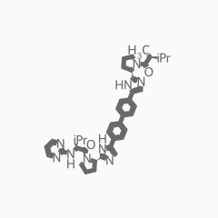 CC(C)[C@H](C)C(=O)N1CCC[C@H]1c1ncc(-c2ccc(-c3ccc(-c4cnc([C@@H]5CCCN5C(=O)[C@@H](Nc5ncccn5)C(C)C)[nH]4)cc3)cc2)[nH]1